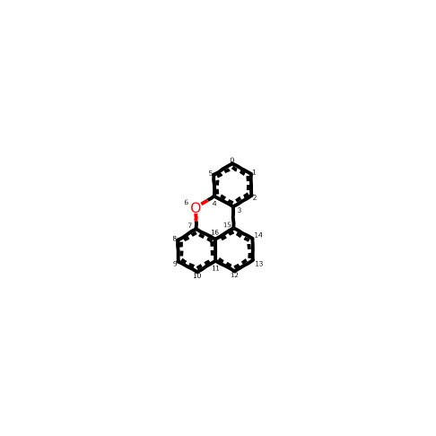 c1ccc2c(c1)Oc1cccc3cccc-2c13